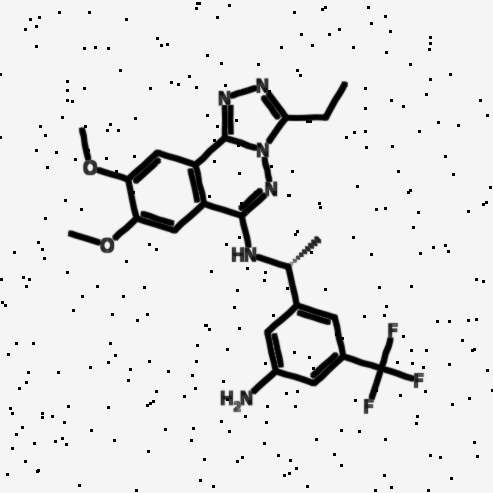 CCc1nnc2c3cc(OC)c(OC)cc3c(N[C@H](C)c3cc(N)cc(C(F)(F)F)c3)nn12